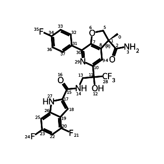 C[C@]1(C(N)=O)COc2c1cc(C(O)(CNC(=O)c1cc3c(F)cc(F)cc3[nH]1)C(F)(F)F)nc2-c1ccc(F)cc1